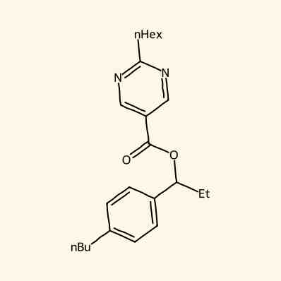 CCCCCCc1ncc(C(=O)OC(CC)c2ccc(CCCC)cc2)cn1